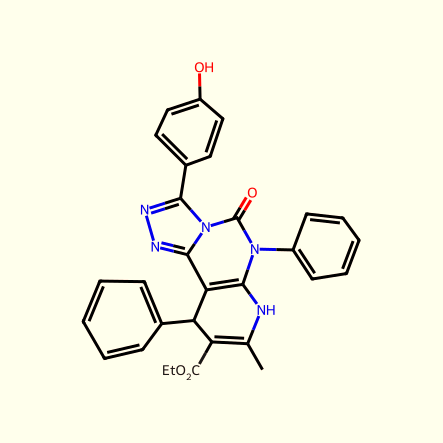 CCOC(=O)C1=C(C)Nc2c(c3nnc(-c4ccc(O)cc4)n3c(=O)n2-c2ccccc2)C1c1ccccc1